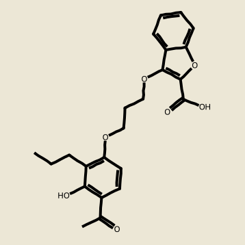 CCCc1c(OCCCOc2c(C(=O)O)oc3ccccc23)ccc(C(C)=O)c1O